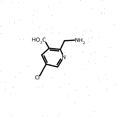 NCc1ncc(Cl)cc1C(=O)O